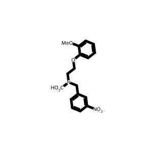 COc1ccccc1OCCN(Cc1cccc([N+](=O)[O-])c1)C(=O)O